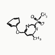 Cc1cc(Oc2ccccc2)nc(S(C)(=O)=O)n1